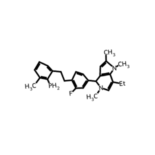 CCC1=CN(C)C(c2ccc(CCc3cccc(C)c3P)c(F)c2)c2cc(C)n(C)c21